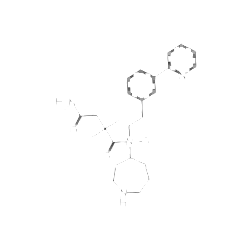 CC(C)(CC(N)=O)C(=O)[N+]([O-])(CCc1cccc(-c2ccccn2)c1)C1CCCNCC1